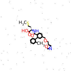 CSCC[C@H](NC(=O)c1ccc(COCc2cnco2)cc1-c1ccccc1C)C(=O)O